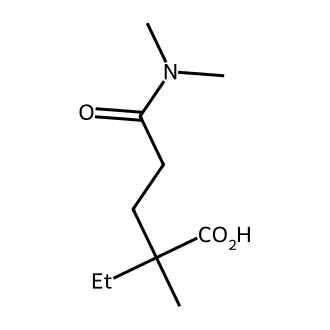 CCC(C)(CCC(=O)N(C)C)C(=O)O